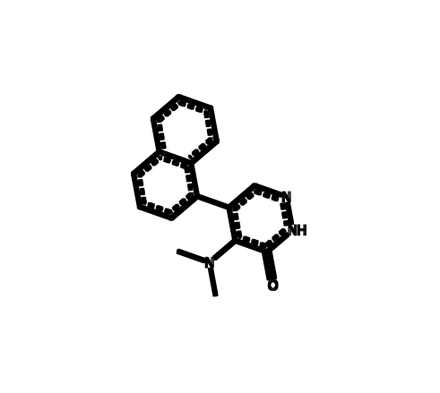 CN(C)c1c(-c2cccc3ccccc23)cn[nH]c1=O